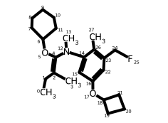 CC/C(C)=C(\OC1CCCCC1)N(C)c1cc(OC2CCC2)cc(CF)c1C